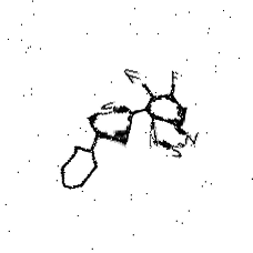 Fc1cc2nsnc2c(-c2cc(C3CCCCC3)cs2)c1F